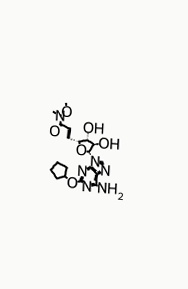 CON(C)C(=O)/C=C/[C@H]1O[C@@H](n2cnc3c(N)nc(OC4CCCC4)nc32)[C@H](O)[C@H]1O